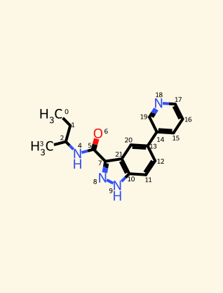 CCC(C)NC(=O)c1n[nH]c2ccc(-c3cccnc3)cc12